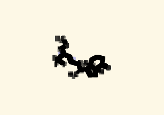 CO/N=C(\C=C\C[C@@H](C)C1=CC[C@H]2C(=O)CCC[C@]12C)C(F)(F)F